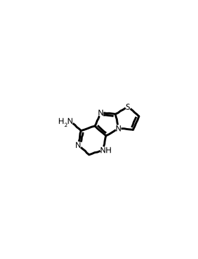 NC1=NCNc2c1nc1sccn21